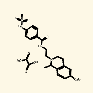 COc1ccc2c(c1)CCN(CCNC(=O)c1ccc(NS(C)(=O)=O)cc1)C2C.O=C(O)C(=O)O